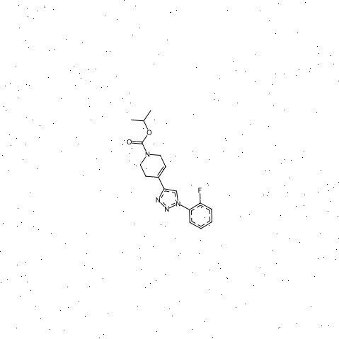 CC(C)OC(=O)N1CC=C(c2cn(-c3ccccc3F)nn2)CC1